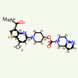 CNC(=O)c1csc2c(C(F)(F)F)cc(N3CCC(OC(=O)N4CCn5nccc5C4)CC3)nc12